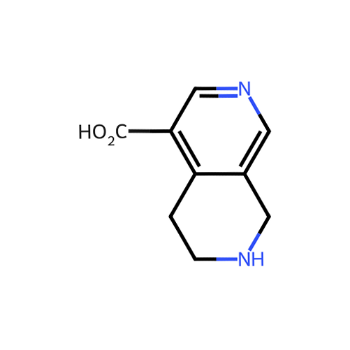 O=C(O)c1cncc2c1CCNC2